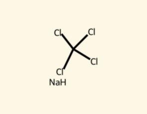 ClC(Cl)(Cl)Cl.[NaH]